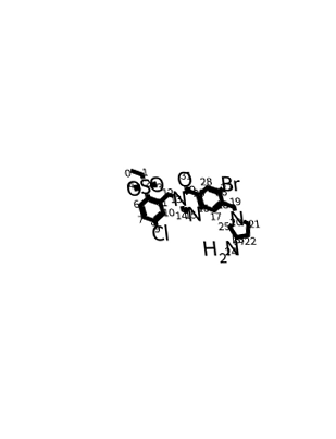 CCS(=O)(=O)c1ccc(Cl)cc1Cn1cnc2cc(CN3CC[C@H](N)C3)c(Br)cc2c1=O